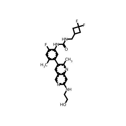 Cc1cc(F)c(NC(=O)NCC2CC(F)(F)C2)cc1-c1cc2cnc(NCCO)cc2nc1C